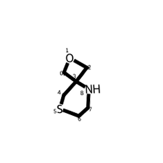 [CH]1OCC12CSCCN2